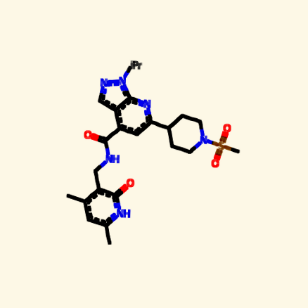 Cc1cc(C)c(CNC(=O)c2cc(C3CCN(S(C)(=O)=O)CC3)nc3c2cnn3C(C)C)c(=O)[nH]1